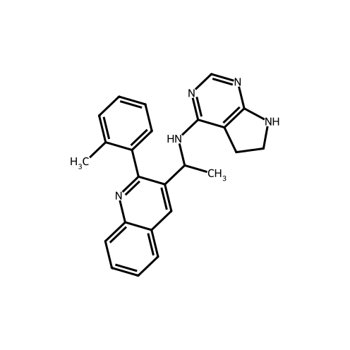 Cc1ccccc1-c1nc2ccccc2cc1C(C)Nc1ncnc2c1CCN2